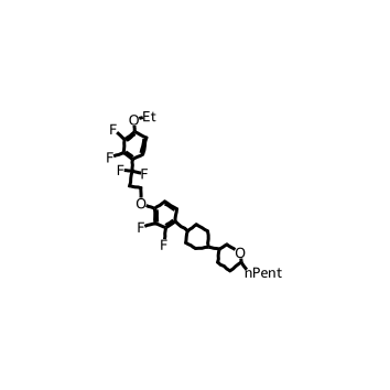 CCCCCC1CCC(C2CCC(c3ccc(OCCC(F)(F)c4ccc(OCC)c(F)c4F)c(F)c3F)CC2)CO1